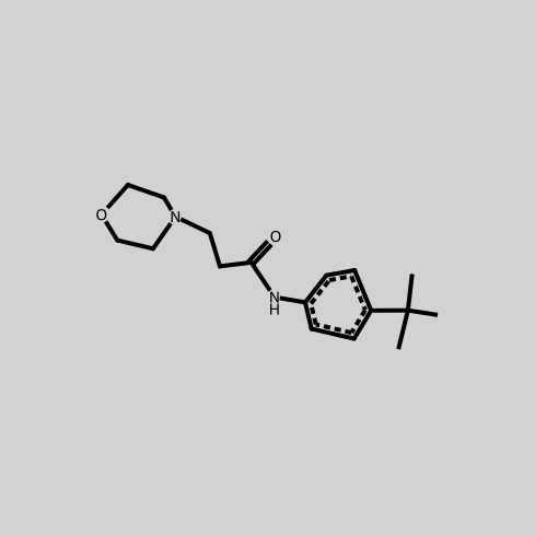 CC(C)(C)c1ccc(NC(=O)CCN2CCOCC2)cc1